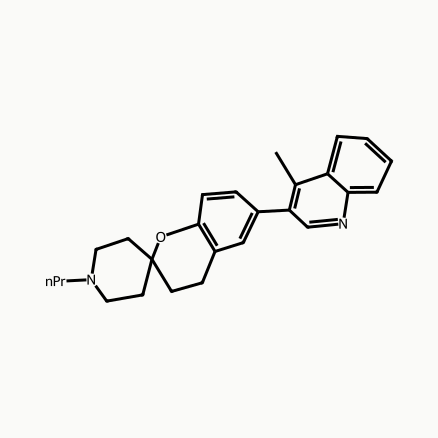 CCCN1CCC2(CCc3cc(-c4cnc5ccccc5c4C)ccc3O2)CC1